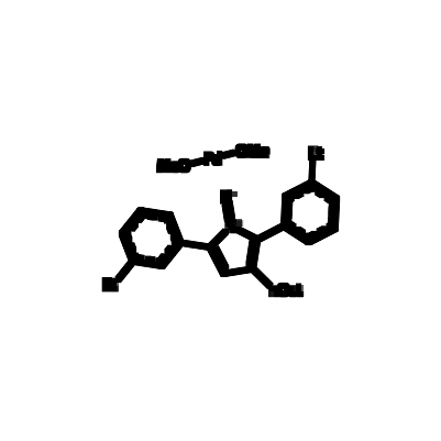 CCCCCCCCC1=C(c2cccc(CC)c2)[N+](=[N-])C(c2cccc(CC)c2)=C1.C[O][Pd][O]C